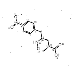 C[C@@H](C[C@H](Cc1ccc([N+](=O)[O-])cc1)NCl)C(=O)O